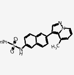 CCCS(=O)(=O)Nc1ccc2cc(-c3cnn4cccc(C)c34)ccc2c1